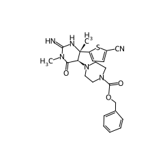 CN1C(=N)N[C@](C)(c2ccc(C#N)s2)[C@@H](N2CCN(C(=O)OCc3ccccc3)CC2)C1=O